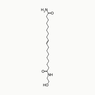 NC(=O)CCCCCCC/C=C/CCCCCCCC(=O)NCCO